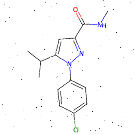 CNC(=O)c1cc(C(C)C)n(-c2ccc(Cl)cc2)n1